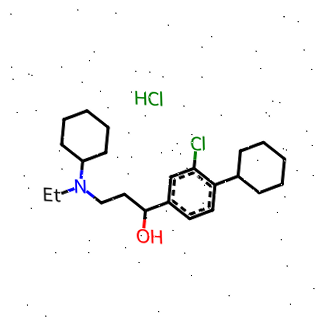 CCN(CCC(O)c1ccc(C2CCCCC2)c(Cl)c1)C1CCCCC1.Cl